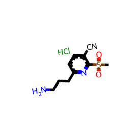 CS(=O)(=O)c1nc(CCCN)ccc1C#N.Cl